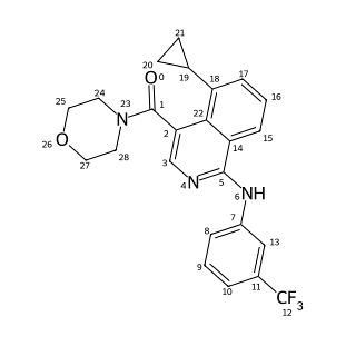 O=C(c1cnc(Nc2cccc(C(F)(F)F)c2)c2cccc(C3CC3)c12)N1CCOCC1